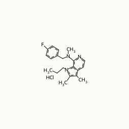 CCCn1c(C)c(C)c2ccnc(N(C)Cc3ccc(F)cc3)c21.Cl